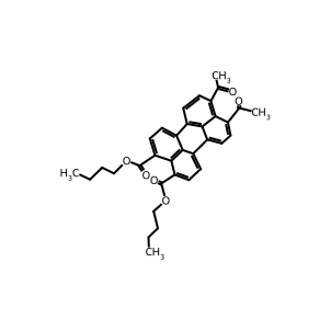 CCCCOC(=O)c1ccc2c3ccc(C(C)=O)c4c(C(C)=O)ccc(c5ccc(C(=O)OCCCC)c1c25)c43